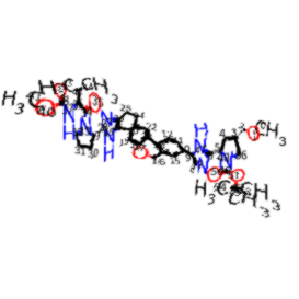 COC[C@H]1C[C@@H](c2ncc(-c3ccc4c(c3)COc3cc5c(cc3-4)CCc3nc([C@@H]4CCCN4C(=O)C(NC(=O)OC)C(C)C)[nH]c3-5)[nH]2)N(C(=O)OC(C)(C)C)C1